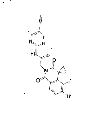 N#Cc1cnc(NC(=O)CN2C(=O)c3ccc(Br)c(F)c3C3(CC3)C2=O)nc1